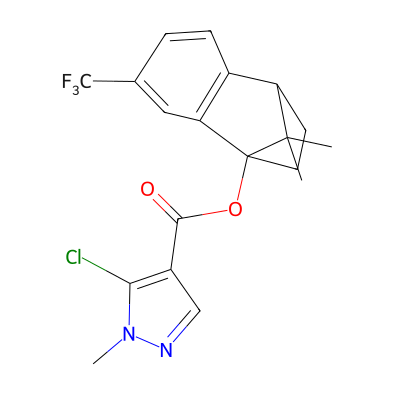 Cn1ncc(C(=O)OC23CCC(c4ccc(C(F)(F)F)cc42)C3(C)C)c1Cl